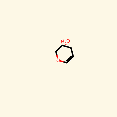 C1=COCCC1.O